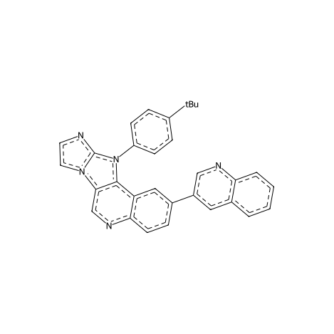 CC(C)(C)c1ccc(-n2c3c4cc(-c5cnc6ccccc6c5)ccc4ncc3n3ccnc23)cc1